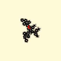 CC(C)(C)c1ccc(N2c3cc(-c4ccc([Si](c5ccccc5)(c5ccccc5)c5cccc(-c6ccccc6)c5)cc4)ccc3B3c4ccc([Si](c5ccccc5)(c5ccccc5)c5cccc(-c6ccccc6)c5)cc4Oc4cc(-n5c6ccc(C(C)(C)C)cc6c6cc(C(C)(C)C)ccc65)cc2c43)c(-c2ccccc2)c1